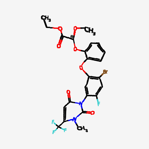 CCOC(=O)[C@@H](OC)Oc1ccccc1Oc1cc(-n2c(=O)cc(C(F)(F)F)n(C)c2=O)c(F)cc1Br